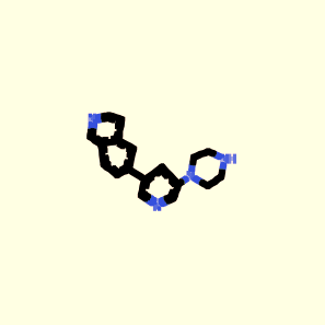 c1cc2cc(-c3cncc(N4CCNCC4)c3)ccc2cn1